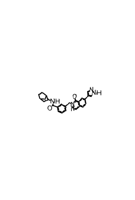 O=C(NC1CC2CCC1C2)c1cccc(Cn2ncc3ccc(-c4cn[nH]c4)cc3c2=O)c1